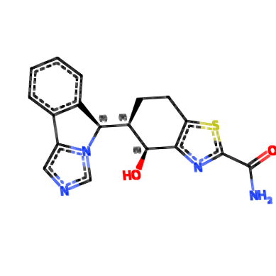 NC(=O)c1nc2c(s1)CC[C@H]([C@@H]1c3ccccc3-c3cncn31)[C@@H]2O